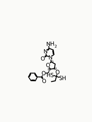 CCC(S)(S)O[C@H]1C[C@H](n2ccc(N)nc2=O)O[C@@H]1COC(=O)c1ccccc1